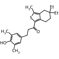 CCC1(CC)CCc2c(C(=O)CCc3cc(C)c(O)c(C)c3)sc(C)c2C1